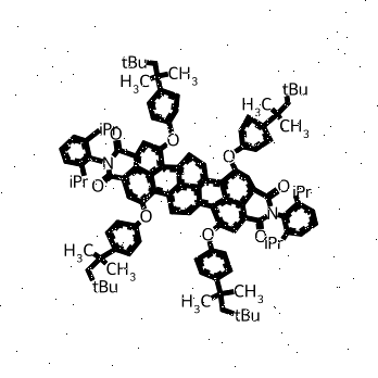 CC(C)c1cccc(C(C)C)c1N1C(=O)c2cc(Oc3ccc(C(C)(C)CC(C)(C)C)cc3)c3c4ccc5c6c(Oc7ccc(C(C)(C)CC(C)(C)C)cc7)cc7c8c(cc(Oc9ccc(C(C)(C)CC(C)(C)C)cc9)c(c9ccc(c%10c(Oc%11ccc(C(C)(C)CC(C)(C)C)cc%11)cc(c2c3%10)C1=O)c4c59)c86)C(=O)N(c1c(C(C)C)cccc1C(C)C)C7=O